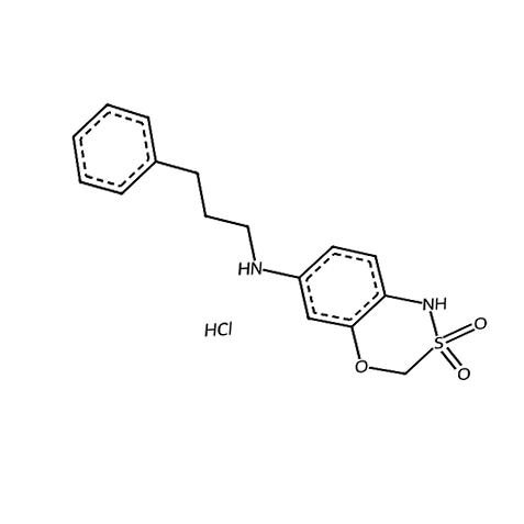 Cl.O=S1(=O)COc2cc(NCCCc3ccccc3)ccc2N1